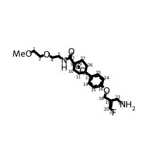 COCCOCCNC(=O)C12CCC(c3ccc(OCC(=CF)CN)cc3)(CC1)CC2